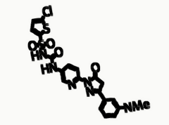 CNc1cccc(C2=NN(c3ccc(NC(=O)NS(=O)(=O)c4ccc(Cl)s4)cn3)C(=O)C2)c1